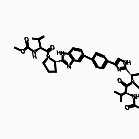 COC(=O)N[C@H](C(=O)N1CCC[C@H]1c1nc(-c2ccc(-c3ccc4[nH]c([C@@H]5CCCN5C(=O)[C@@H](NC(=O)OC)C(C)C)nc4c3)cc2)c[nH]1)C(C)C